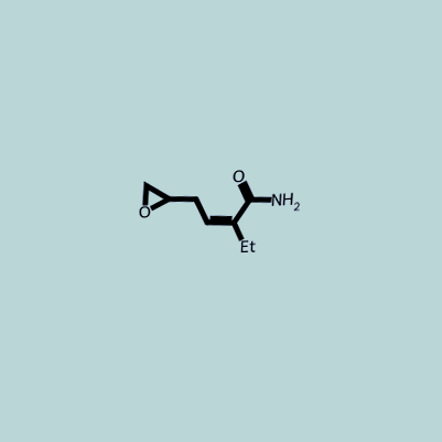 CCC(=CCC1CO1)C(N)=O